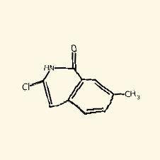 Cc1ccc2cc(Cl)[nH]c(=O)c2c1